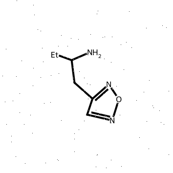 CCC(N)Cc1cnon1